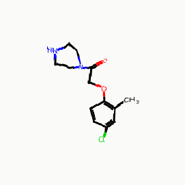 Cc1cc(Cl)ccc1OCC(=O)N1CCNCC1